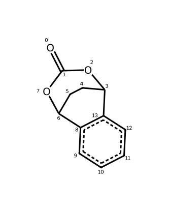 O=C1OC2CCC(O1)c1ccccc12